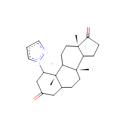 C[C@]12C(n3cccn3)CC(=O)C[C@@H]1CC[C@@H]1[C@@H]2CC[C@]2(C)C(=O)CC[C@@H]12